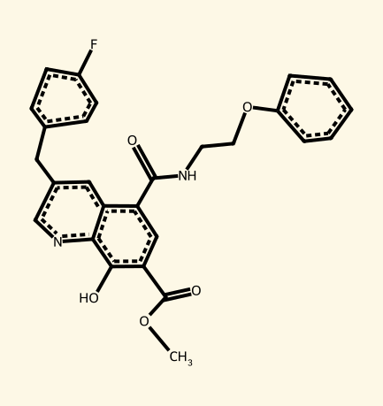 COC(=O)c1cc(C(=O)NCCOc2ccccc2)c2cc(Cc3ccc(F)cc3)cnc2c1O